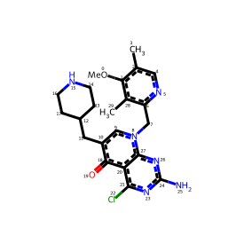 COc1c(C)cnc(Cn2cc(CC3CCNCC3)c(=O)c3c(Cl)nc(N)nc32)c1C